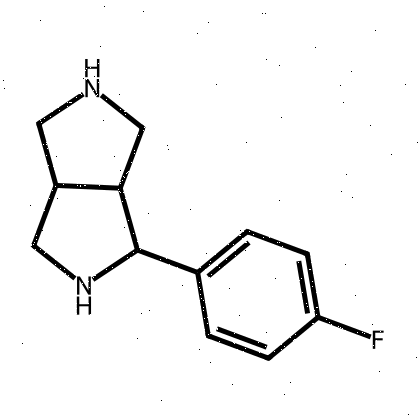 Fc1ccc(C2NCC3CNCC32)cc1